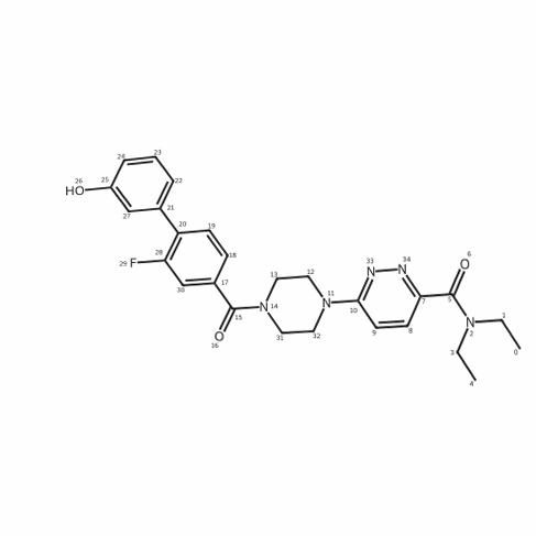 CCN(CC)C(=O)c1ccc(N2CCN(C(=O)c3ccc(-c4cccc(O)c4)c(F)c3)CC2)nn1